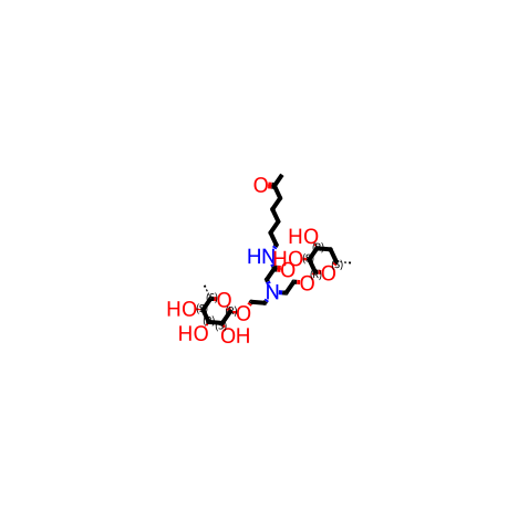 CC(=O)CCCCCNC(=O)CN(CCO[C@@H]1O[C@@H](C)[C@@H](O)[C@@H](O)[C@@H]1O)CCO[C@@H]1O[C@@H](C)C[C@@H](O)[C@@H]1O